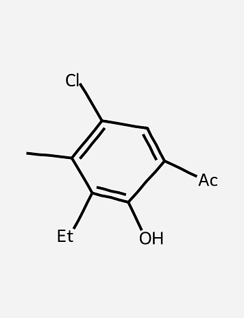 CCc1c(C)c(Cl)cc(C(C)=O)c1O